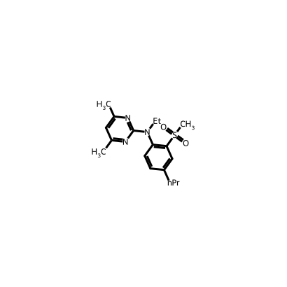 CCCc1ccc(N(CC)c2nc(C)cc(C)n2)c(S(C)(=O)=O)c1